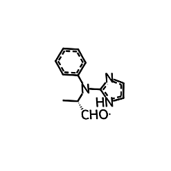 C[C@@H]([C]=O)N(c1ccccc1)c1ncc[nH]1